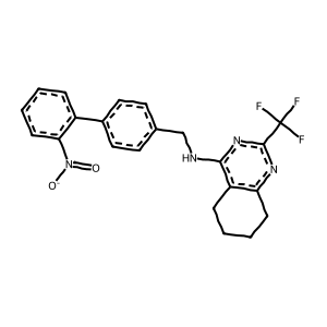 O=[N+]([O-])c1ccccc1-c1ccc(CNc2nc(C(F)(F)F)nc3c2CCCC3)cc1